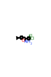 NC(=O)C(Cc1ccc(C2CC2)cc1)c1ccc(Cl)c(Cl)c1